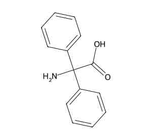 NC(C(=O)O)(c1ccccc1)c1ccccc1